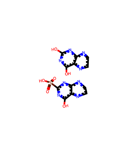 O=S(=O)(O)c1nc(O)c2nccnc2n1.Oc1nc(O)c2nccnc2n1